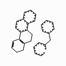 C1=CC2=C(CC1)CCc1c2ccc2ccccc12.c1ccc(Cc2ccccn2)cc1